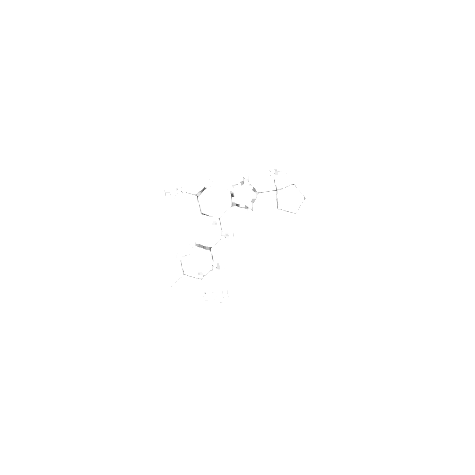 CC(O)[C@H](NC(=O)N[C@@H](CC(N)=O)c1nc(C2(N)CCCC2)no1)C(=O)O